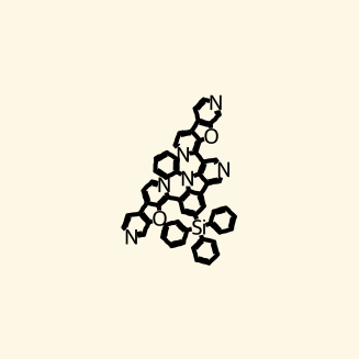 c1ccc(-n2c3c(-c4nccc5c4oc4cnccc45)cncc3c3cc([Si](c4ccccc4)(c4ccccc4)c4ccccc4)cc(-c4nccc5c4oc4cnccc45)c32)cc1